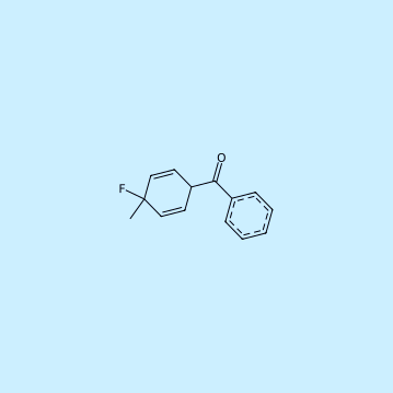 CC1(F)C=CC(C(=O)c2ccccc2)C=C1